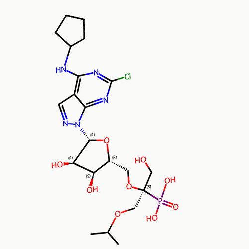 CC(C)OC[C@@](CO)(OC[C@H]1O[C@@H](n2ncc3c(NC4CCCC4)nc(Cl)nc32)[C@H](O)[C@@H]1O)P(=O)(O)O